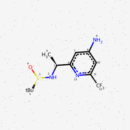 C[C@H](N[S@+]([O-])C(C)(C)C)c1cc(N)cc(C(F)(F)F)n1